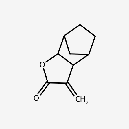 C=C1C(=O)OC2C3CCC(C3)C12